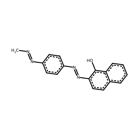 CN=Nc1ccc(N=Nc2ccc3ccccc3c2O)cc1